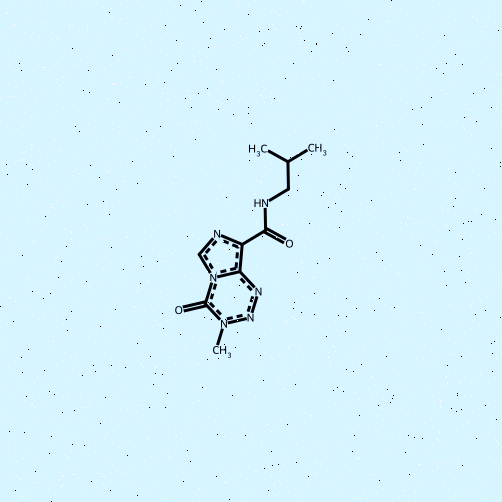 CC(C)CNC(=O)c1ncn2c(=O)n(C)nnc12